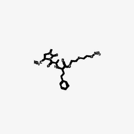 CC(NC(CCc1ccccc1)C(=O)OCCSCCO[N+](=O)[O-])C(=O)N1C(=O)N(C)CC1C(=O)O